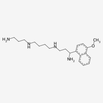 COc1ccc(C(N)CCNCCCCNCCCN)c2ccccc12